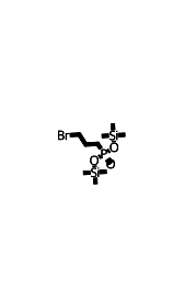 C[Si](C)(C)OP(=O)(CCCBr)O[Si](C)(C)C